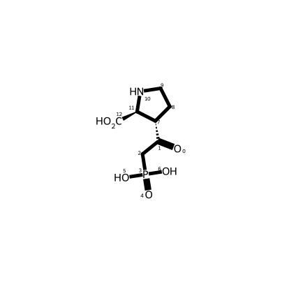 O=C(CP(=O)(O)O)[C@H]1CCN[C@@H]1C(=O)O